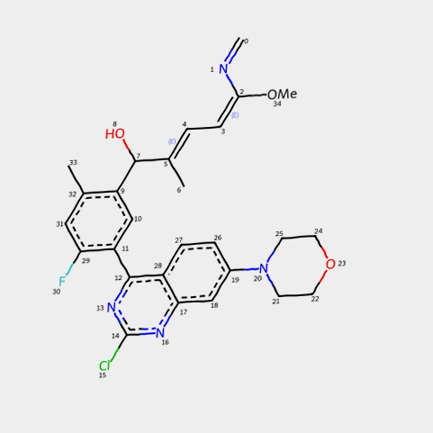 C=N/C(=C\C=C(/C)C(O)c1cc(-c2nc(Cl)nc3cc(N4CCOCC4)ccc23)c(F)cc1C)OC